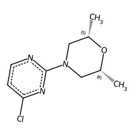 C[C@@H]1CN(c2nccc(Cl)n2)C[C@H](C)O1